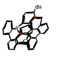 CC(C)(C)c1ccc(N(c2ccccc2-c2cccc3cccc(-c4ccccc4)c23)c2ccccc2-c2cccc3oc4ccccc4c23)cc1